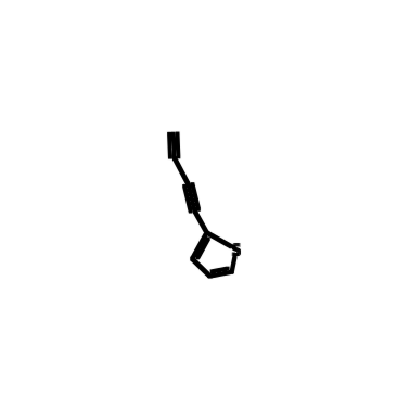 C#CC#Cc1cccs1